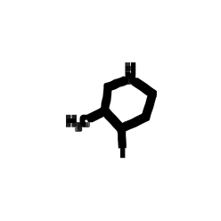 CC1CNCCC1I